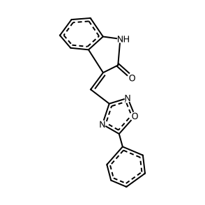 O=C1Nc2ccccc2C1=Cc1noc(-c2ccccc2)n1